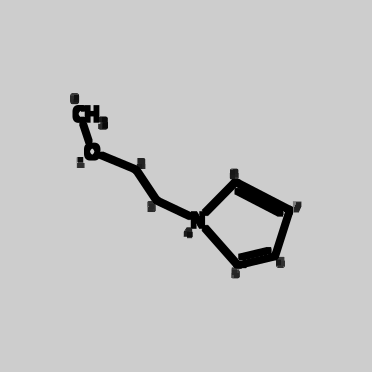 COCCn1[c]ccc1